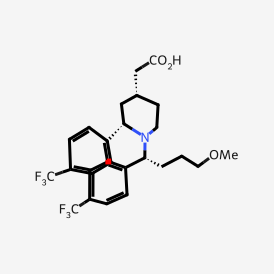 COCCC[C@H](c1ccc(C(F)(F)F)cc1)N1CC[C@@H](CC(=O)O)C[C@H]1c1ccc(C(F)(F)F)cc1